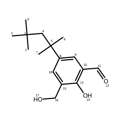 CC(C)(C)CC(C)(C)c1cc(C=O)c(O)c(CO)c1